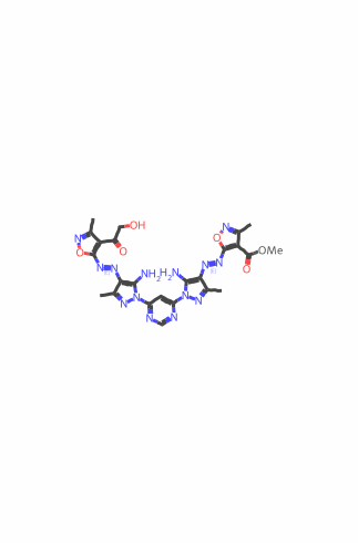 COC(=O)c1c(C)noc1/N=N/c1c(C)nn(-c2cc(-n3nc(C)c(/N=N/c4onc(C)c4C(=O)CO)c3N)ncn2)c1N